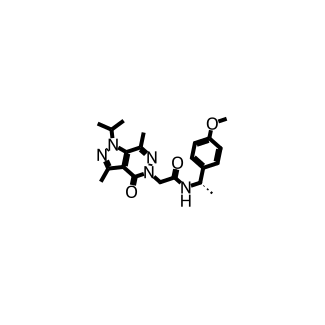 COc1ccc([C@H](C)NC(=O)Cn2nc(C)c3c(c(C)nn3C(C)C)c2=O)cc1